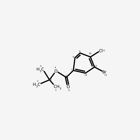 CC(C)(C)OC(=O)c1ccc(Cl)c(Br)c1